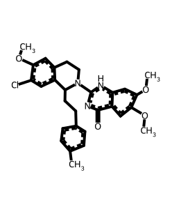 COc1cc2c(cc1Cl)C(CCc1ccc(C)cc1)N(c1nc(=O)c3cc(OC)c(OC)cc3[nH]1)CC2